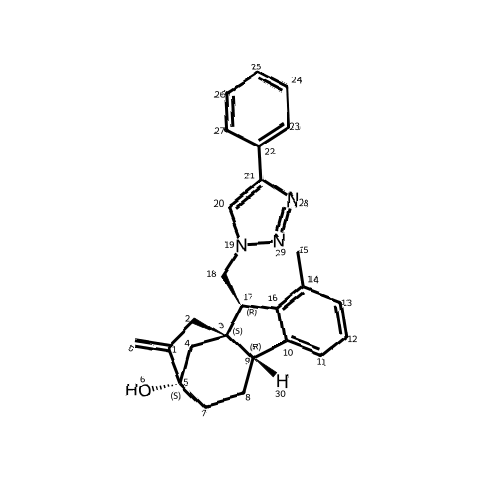 C=C1C[C@]23C[C@@]1(O)CC[C@H]2c1cccc(C)c1[C@@H]3Cn1cc(-c2ccccc2)nn1